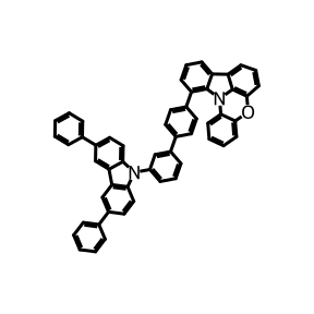 c1ccc(-c2ccc3c(c2)c2cc(-c4ccccc4)ccc2n3-c2cccc(-c3ccc(-c4cccc5c6cccc7c6n(c45)-c4ccccc4O7)cc3)c2)cc1